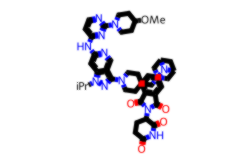 COC1CCN(c2nccc(Nc3cc4c(cn3)c(N3CCC(CN5CC6CC(C5)N6c5ccc6c(c5)C(=O)N(C5CCC(=O)NC5=O)C6=O)CC3)nn4C(C)C)n2)CC1